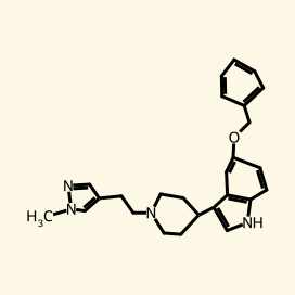 Cn1cc(CCN2CCC(c3c[nH]c4ccc(OCc5ccccc5)cc34)CC2)cn1